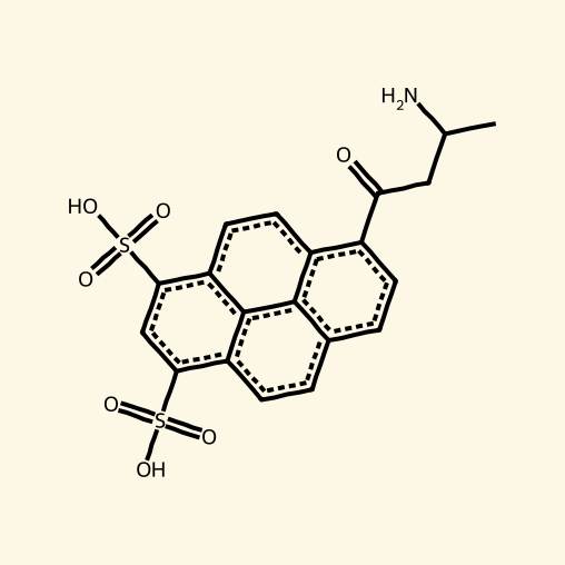 CC(N)CC(=O)c1ccc2ccc3c(S(=O)(=O)O)cc(S(=O)(=O)O)c4ccc1c2c34